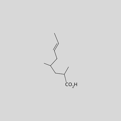 CC=CCC(C)CC(C)C(=O)O